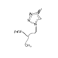 CC(S)Cn1cnnn1